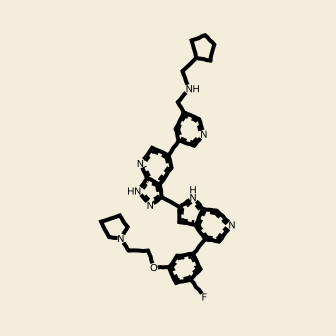 Fc1cc(OCCN2CCCC2)cc(-c2cncc3[nH]c(-c4n[nH]c5ncc(-c6cncc(CNCC7CCCC7)c6)cc45)cc23)c1